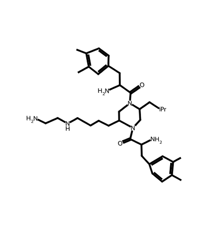 Cc1ccc(CC(N)C(=O)N2CC(CC(C)C)N(C(=O)C(N)Cc3ccc(C)c(C)c3)CC2CCCCNCCN)cc1C